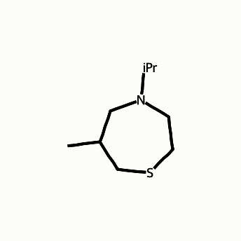 CC1CSCCN(C(C)C)C1